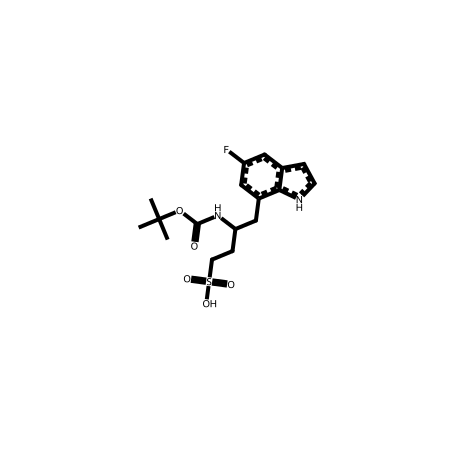 CC(C)(C)OC(=O)NC(CCS(=O)(=O)O)Cc1cc(F)cc2cc[nH]c12